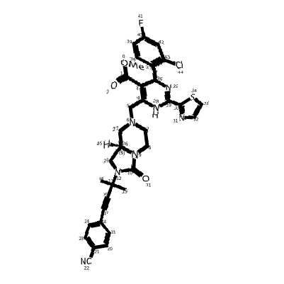 COC(=O)C1=C(CN2CCN3C(=O)N(C(C)(C)C#Cc4ccc(C#N)cc4)C[C@@H]3C2)NC(c2nccs2)=NC1c1ccc(F)cc1Cl